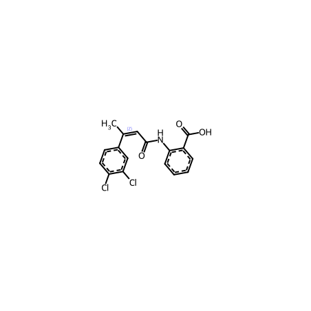 C/C(=C/C(=O)Nc1ccccc1C(=O)O)c1ccc(Cl)c(Cl)c1